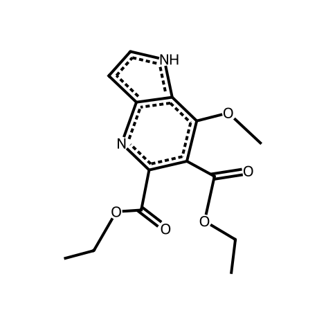 CCOC(=O)c1nc2cc[nH]c2c(OC)c1C(=O)OCC